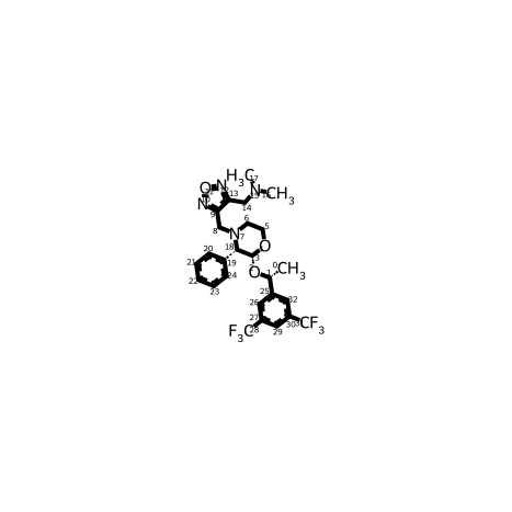 C[C@@H](O[C@H]1OCCN(Cc2nonc2CN(C)C)[C@H]1c1ccccc1)c1cc(C(F)(F)F)cc(C(F)(F)F)c1